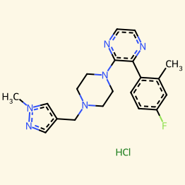 Cc1cc(F)ccc1-c1nccnc1N1CCN(Cc2cnn(C)c2)CC1.Cl